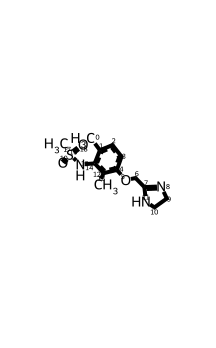 Cc1ccc(OCC2=NCCN2)c(C)c1NS(C)(=O)=O